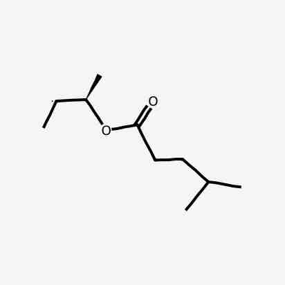 C[CH][C@@H](C)OC(=O)CCC(C)C